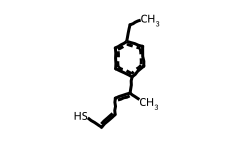 CCc1ccc(/C(C)=C/C=C\S)cc1